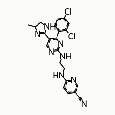 CC1CNC(c2cnc(NCCNc3ccc(C#N)cn3)nc2-c2ccc(Cl)cc2Cl)=N1